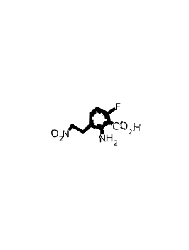 Nc1c(CC[N+](=O)[O-])ccc(F)c1C(=O)O